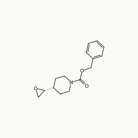 O=C(OCc1ccccc1)N1CCC([C@@H]2CO2)CC1